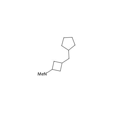 CNC1CC(CC2CCCC2)C1